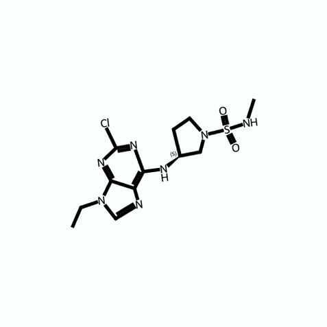 CCn1cnc2c(N[C@H]3CCN(S(=O)(=O)NC)C3)nc(Cl)nc21